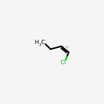 CC/[C]=C\Cl